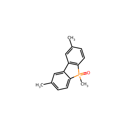 Cc1ccc2c(c1)-c1cc(C)ccc1P2(C)=O